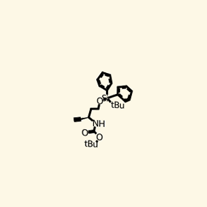 C#C[C@@H](CCO[Si](c1ccccc1)(c1ccccc1)C(C)(C)C)NC(=O)OC(C)(C)C